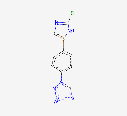 ClC1=NC=S(c2ccc(-n3cnnn3)cc2)N1